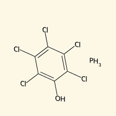 Oc1c(Cl)c(Cl)c(Cl)c(Cl)c1Cl.P